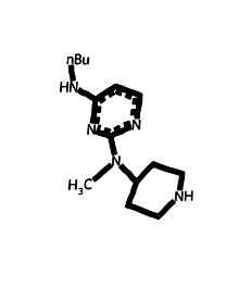 CCCCNc1ccnc(N(C)C2CCNCC2)n1